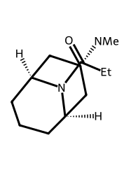 CCC(=O)N1[C@@H]2CCC[C@H]1C[C@H](NC)C2